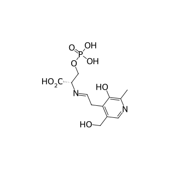 Cc1ncc(CO)c(CC=N[C@@H](COP(=O)(O)O)C(=O)O)c1O